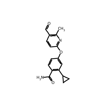 Cc1nc(Oc2ccc(C(N)=O)c(C3CC3)c2)ccc1C=O